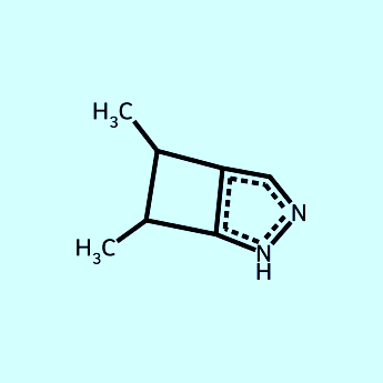 CC1c2cn[nH]c2C1C